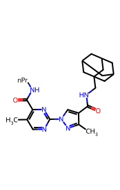 CCCNC(=O)c1nc(-n2cc(C(=O)NCC34CC5CC(CC(C5)C3)C4)c(C)n2)ncc1C